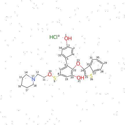 Cl.Oc1ccc(-c2cc(SOCCN3CCCCC3)cc(O)c2Oc2csc3ccccc23)cc1